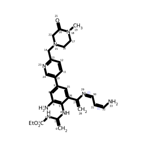 C=C(NC(=O)OCC)Nc1c(N)cc(-c2ccc(CN3CCN(C)C(=O)C3)nc2)cc1C(=C)/N=C\C=C/N